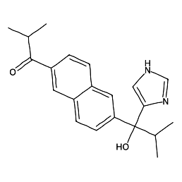 CC(C)C(=O)c1ccc2cc(C(O)(c3c[nH]cn3)C(C)C)ccc2c1